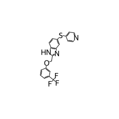 FC(F)(F)c1cccc(OCc2nc3cc(Sc4ccncc4)ccc3[nH]2)c1